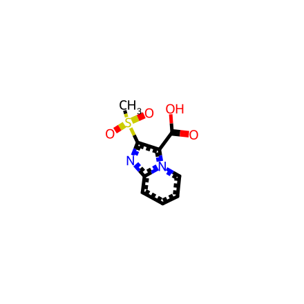 CS(=O)(=O)c1nc2ccccn2c1C(=O)O